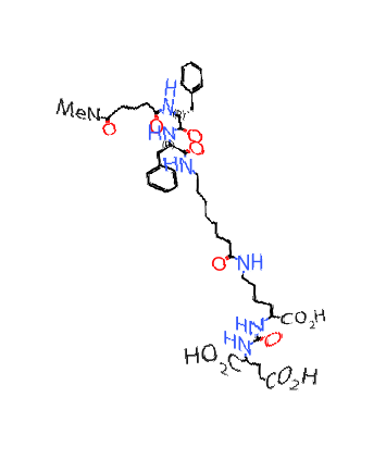 CNC(=O)CCCC(=O)N[C@H](Cc1ccccc1)C(=O)N[C@H](Cc1ccccc1)C(=O)NCCCCCCCC(=O)NCCCCC(NC(=O)NC(CCC(=O)O)C(=O)O)C(=O)O